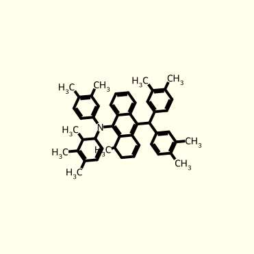 CC1=C(C)C(C)C(N(c2ccc(C)c(C)c2)c2c3c(c(C(c4ccc(C)c(C)c4)c4ccc(C)c(C)c4)c4ccccc24)C=CCC3C)C=C1